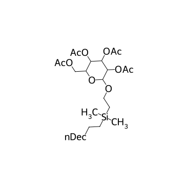 CCCCCCCCCCCC[Si](C)(C)CCOC1OC(COC(C)=O)C(OC(C)=O)C(OC(C)=O)C1OC(C)=O